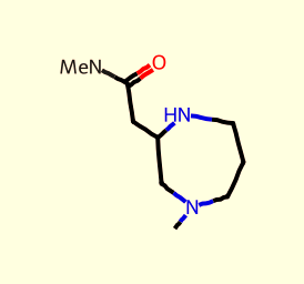 CNC(=O)CC1CN(C)CCCN1